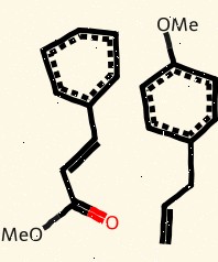 C=CCc1ccc(OC)cc1.COC(=O)/C=C/c1ccccc1